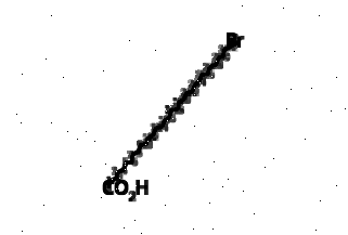 O=C(O)CCCCCCCCCCCCCCCCCCCCCCCCCCCCCCCCBr